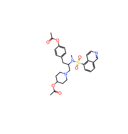 CC(=O)Oc1ccc(CC(CN2CCC(OC(C)=O)CC2)N(C)S(=O)(=O)c2cccc3cnccc23)cc1